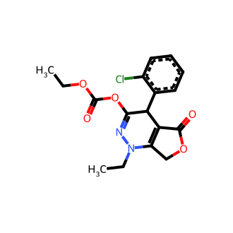 CCOC(=O)OC1=NN(CC)C2=C(C(=O)OC2)C1c1ccccc1Cl